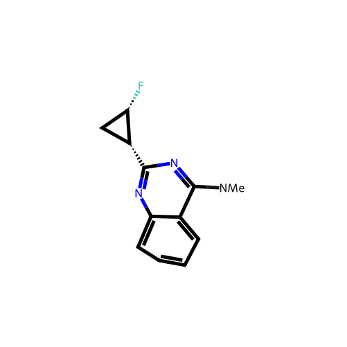 CNc1nc([C@@H]2C[C@@H]2F)nc2ccccc12